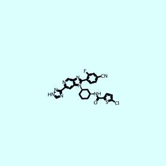 N#Cc1ccc(-c2nc3cnc(-c4nc[nH]n4)cc3n2[C@@H]2CCC[C@H](NC(=O)c3ccc(Cl)s3)C2)c(F)c1